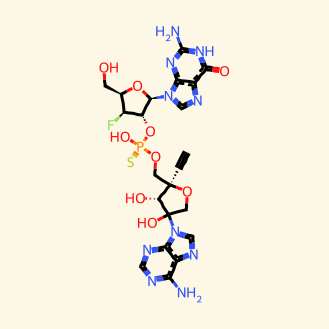 C#C[C@]1(COP(O)(=S)O[C@@H]2[C@@H](F)[C@@H](CO)O[C@H]2n2cnc3c(=O)[nH]c(N)nc32)OCC(O)(n2cnc3c(N)ncnc32)[C@@H]1O